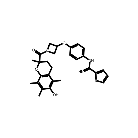 Cc1c(C)c2c(c(C)c1O)CCC(C)(C(=O)N1CC(Oc3ccc(NC(=N)c4cccs4)cc3)C1)O2